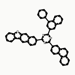 c1ccc(-c2cc(-c3nc(-c4ccc5cc6c(cc5c4)oc4ccccc46)nc(-c4ccc5c(ccc6ccccc65)c4)n3)cc3ccccc23)cc1